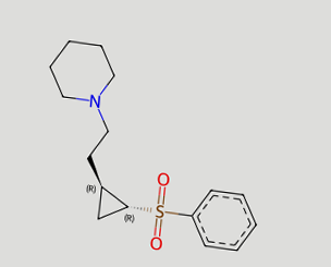 O=S(=O)(c1ccccc1)[C@@H]1C[C@H]1CCN1CCCCC1